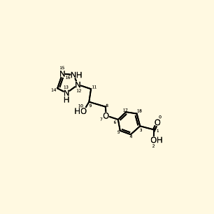 O=C(O)c1ccc(OCC(O)CN2NC=NN2)cc1